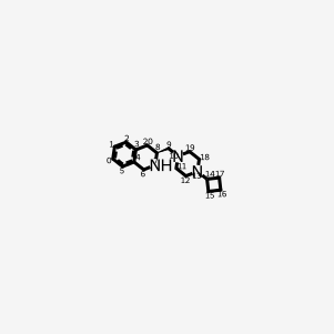 c1ccc2c(c1)CN[C@H](CN1CCN(C3CCC3)CC1)C2